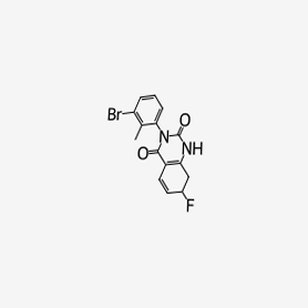 Cc1c(Br)cccc1-n1c(=O)[nH]c2c(c1=O)C=CC(F)C2